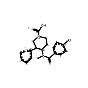 CN(C(=O)c1ccc(Cl)cc1)C1CCN(C(=O)O)CC1c1ccccc1